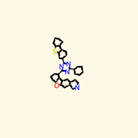 c1ccc(-c2nc(-c3ccc4c(c3)sc3ccccc34)nc(-c3cccc4oc5cc6cnccc6cc5c34)n2)cc1